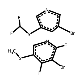 CSc1cnc(F)c(Br)c1F.FC(F)Sc1cncc(Br)c1